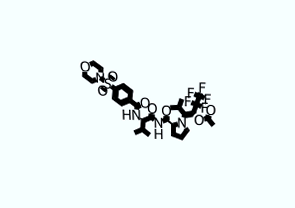 CC(=O)O/C(=C(/C(C)C)N1CCC[C@H]1C(=O)NC(=O)[C@@H](NC(=O)c1ccc(S(=O)(=O)N2CCOCC2)cc1)C(C)C)C(F)(F)C(F)(F)F